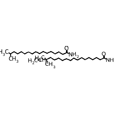 C=C.CC(C)CCCCCCCCCCCCCCC(N)=O.CC(C)CCCCCCCCCCCCCCC(N)=O